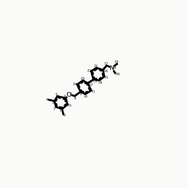 Cc1cc(C)cc(OCc2ccc(-c3ccc(CN(C)C)cc3)cc2)c1